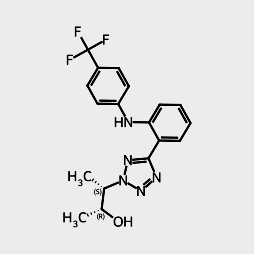 C[C@@H](O)[C@H](C)n1nnc(-c2ccccc2Nc2ccc(C(F)(F)F)cc2)n1